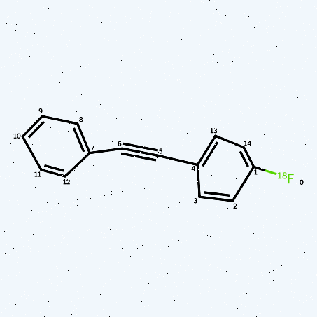 [18F]c1ccc(C#Cc2ccccc2)cc1